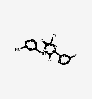 CCc1nc(-c2cccc(F)c2)c(C(C)=O)n(Nc2cccc(C#N)c2)c1=O